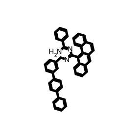 N/C(=N\C(=N/Cc1cccc(-c2ccc(-c3ccccc3)cc2)c1)c1c2ccccc2cc2ccc3ccccc3c12)c1ccccc1